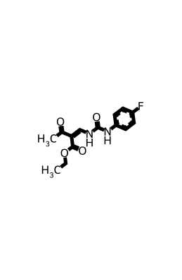 CCOC(=O)/C(=C\NC(=O)Nc1ccc(F)cc1)C(C)=O